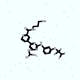 CCC(N)O.O=C(NCCCO)c1cc(-c2ccnc(Nc3cccc(OC(F)(F)C(F)F)c3)n2)ccn1